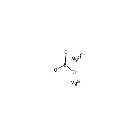 [Cl-].[Mg+2].[Mg+2].[O-]B([O-])[O-]